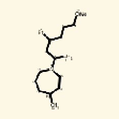 CCC(CCCOC)CC(C)N1CCCC(C)CC1